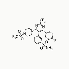 NS(=O)(=O)c1cccc(-c2c(-c3ccc(F)cc3)nc(C(F)(F)F)nc2N2CCN(S(=O)(=O)C(F)(F)F)CC2)c1